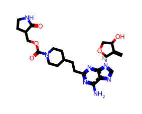 C=C1C(O)CO[C@H]1n1cnc2c(N)nc(CCC3CCN(C(=O)OCC4CCNC4=O)CC3)nc21